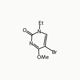 CCn1cc(Br)c(OC)nc1=O